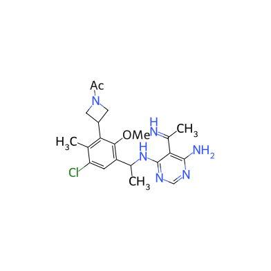 COc1c(C(C)Nc2ncnc(N)c2C(C)=N)cc(Cl)c(C)c1C1CN(C(C)=O)C1